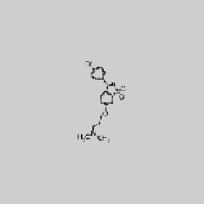 CN(C)CCCOc1ccc2c(c1)S(=O)(=O)N=C2c1ccc(Br)cc1